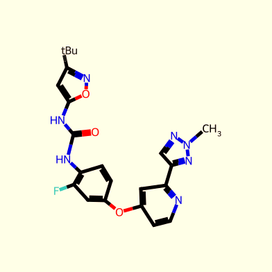 Cn1ncc(-c2cc(Oc3ccc(NC(=O)Nc4cc(C(C)(C)C)no4)c(F)c3)ccn2)n1